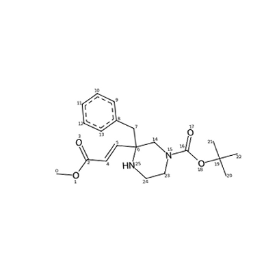 COC(=O)/C=C/C1(Cc2ccccc2)CN(C(=O)OC(C)(C)C)CCN1